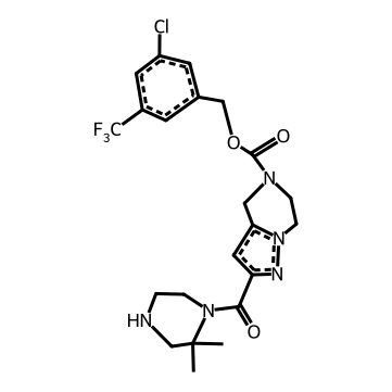 CC1(C)CNCCN1C(=O)c1cc2n(n1)CCN(C(=O)OCc1cc(Cl)cc(C(F)(F)F)c1)C2